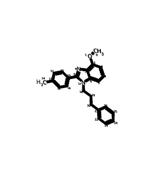 COc1cccc2c1nc(-c1ccc(C)cc1)n2CCCc1ccccc1